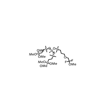 COC(F)(F)COCCC[Si](C)(C)O[Si](C)(O[Si](C)(C)CC[Si](OC)(OC)OC)O[Si](C)(C)CC[Si](OC)(OC)OC